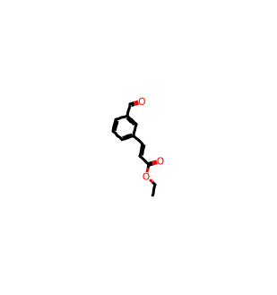 CCOC(=O)C=Cc1cccc(C=O)c1